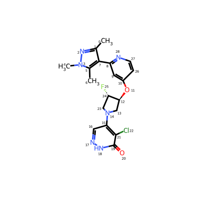 Cc1nn(C)c(C)c1-c1cc(O[C@H]2CN(c3cn[nH]c(=O)c3Cl)C[C@@H]2F)ccn1